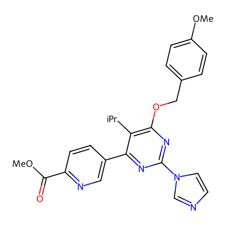 COC(=O)c1ccc(-c2nc(-n3ccnc3)nc(OCc3ccc(OC)cc3)c2C(C)C)cn1